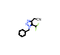 N#CCc1nnn(Cc2ccccc2)c1C(F)F